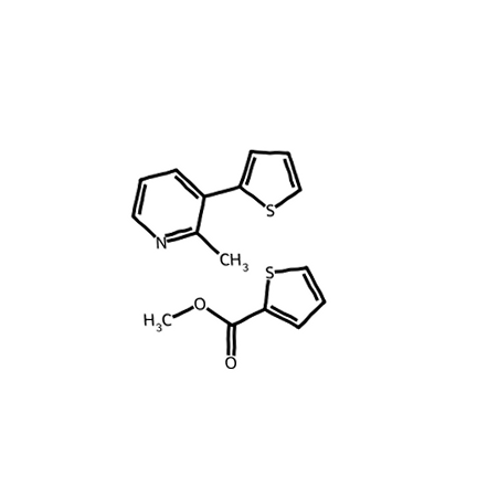 COC(=O)c1cccs1.Cc1ncccc1-c1cccs1